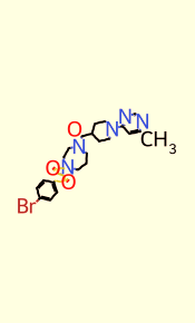 Cc1cc(N2CCC(C(=O)N3CCCN(S(=O)(=O)c4ccc(Br)cc4)CC3)CC2)ncn1